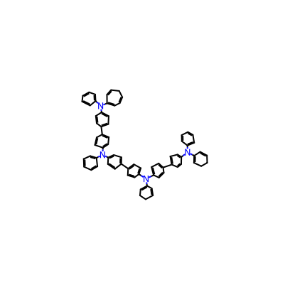 C1=CCC=CC(N(c2ccccc2)c2ccc(-c3ccc(N(c4ccccc4)c4ccc(-c5ccc(N(C6=CCCC=C6)c6ccc(-c7ccc(N(C8=CCCC=C8)c8ccccc8)cc7)cc6)cc5)cc4)cc3)cc2)=C1